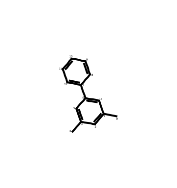 Cc1cc(C)cc(-c2[c]cccc2)c1